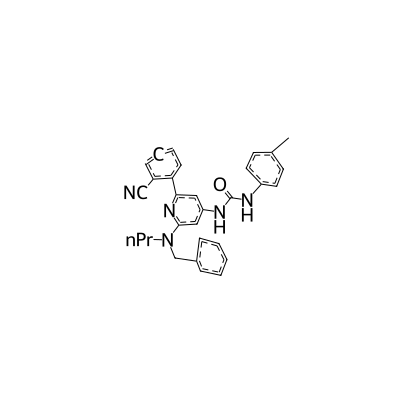 CCCN(Cc1ccccc1)c1cc(NC(=O)Nc2ccc(C)cc2)cc(-c2ccccc2C#N)n1